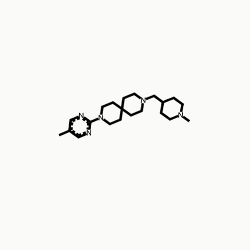 Cc1cnc(N2CCC3(CCN(CC4CCN(C)CC4)CC3)CC2)nc1